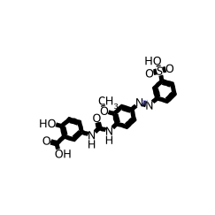 COc1cc(/N=N/c2cccc(S(=O)(=O)O)c2)ccc1NC(=O)Nc1ccc(O)c(C(=O)O)c1